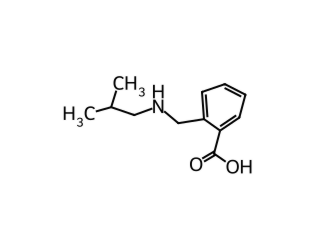 CC(C)CNCc1ccccc1C(=O)O